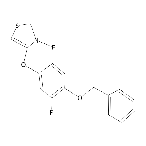 Fc1cc(OC2=CSCN2F)ccc1OCc1ccccc1